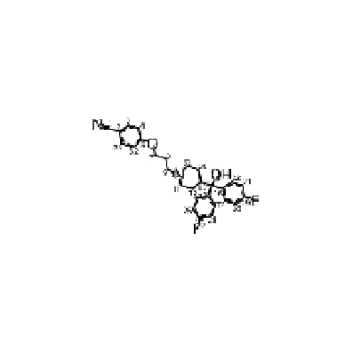 N#Cc1ccc(OCCCN2CCC(C(O)(c3ccc(F)cc3)c3ccc(F)cc3)CC2)cc1